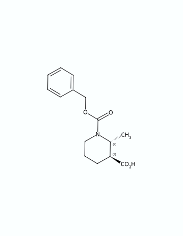 C[C@@H]1[C@@H](C(=O)O)CCCN1C(=O)OCc1ccccc1